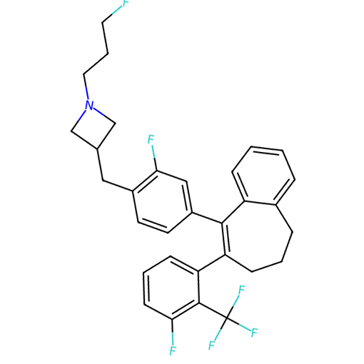 FCCCN1CC(Cc2ccc(C3=C(c4cccc(F)c4C(F)(F)F)CCCc4ccccc43)cc2F)C1